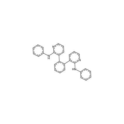 c1ccc(Nc2ncccc2-c2ccccc2-c2cccnc2Nc2ccccc2)cc1